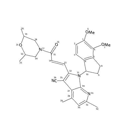 COc1ccc2c(c1OC)CCC2n1c(/C=C/C(=O)N2CC(C)OC(C)C2)c(C#N)c2c(C)cc(C)nc21